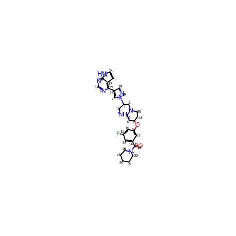 NCC(CN1CCC(Oc2cc(F)cc(C(=O)N3CCCCC3)c2)CC1)n1cc(-c2ncnc3[nH]ccc23)cn1